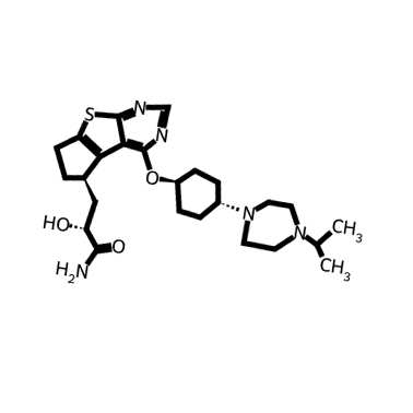 CC(C)N1CCN([C@H]2CC[C@H](Oc3ncnc4sc5c(c34)[C@@H](C[C@@H](O)C(N)=O)CC5)CC2)CC1